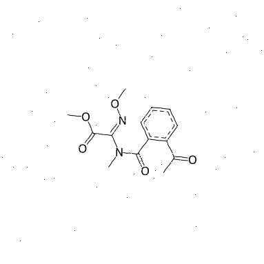 CON=C(C(=O)OC)N(C)C(=O)c1ccccc1C(C)=O